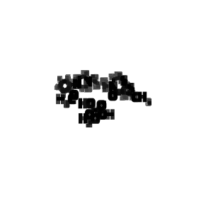 COc1ccccc1N1CCN(CCCCN2CCSc3sc(C)cc3C2=O)CC1.O.O=C(O)C(=O)O